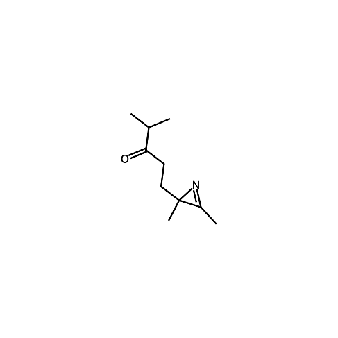 CC1=NC1(C)CCC(=O)C(C)C